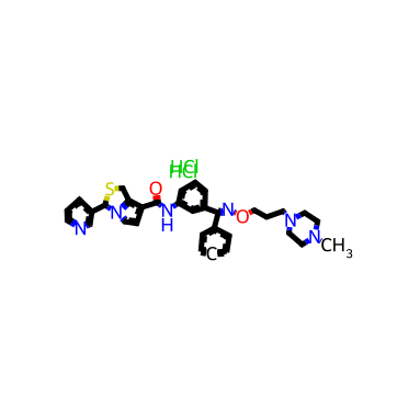 CN1CCN(CCCON=C(c2ccccc2)c2cccc(NC(=O)c3ccn4c3CSC4c3cccnc3)c2)CC1.Cl.Cl